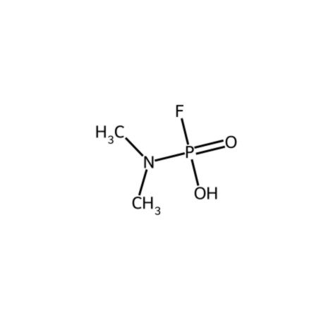 CN(C)P(=O)(O)F